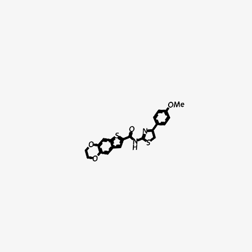 COc1ccc(C2CSC(NC(=O)c3cc4cc5c(cc4s3)OCCO5)=N2)cc1